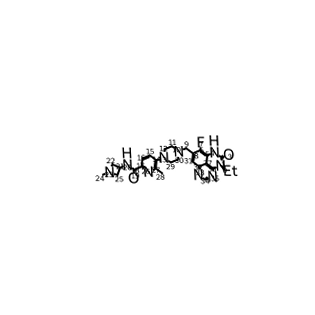 CCN1C(=O)Nc2c(F)c(CN3CCN(c4ccc(C(=O)NC5CN(C)C5)nc4C)CC3)cc3ncnc1c23